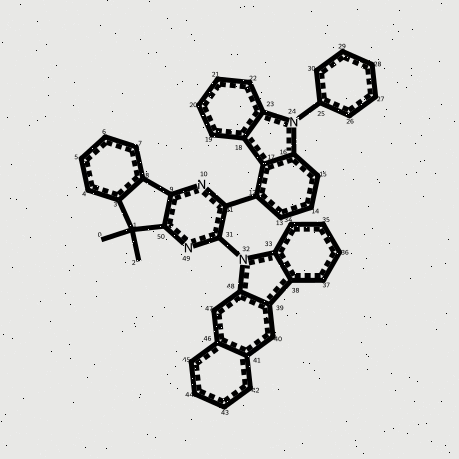 CC1(C)c2ccccc2-c2nc(-c3cccc4c3c3ccccc3n4-c3ccccc3)c(-n3c4ccccc4c4cc5ccccc5cc43)nc21